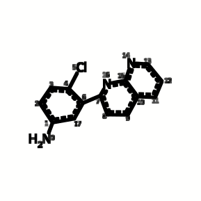 Nc1ccc(Cl)c(-c2ccc3cccnc3n2)c1